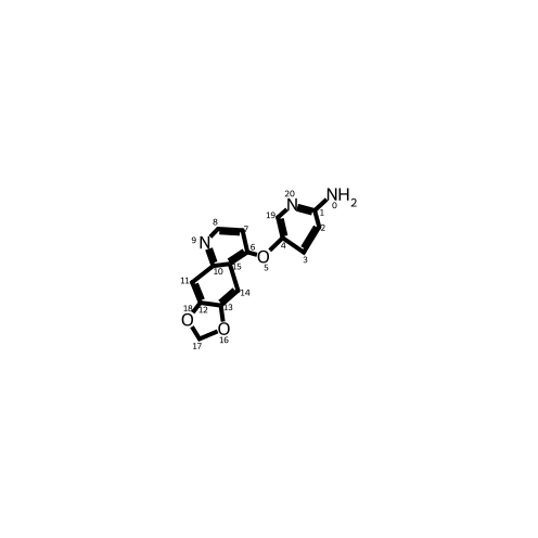 Nc1ccc(Oc2ccnc3cc4c(cc23)OCO4)cn1